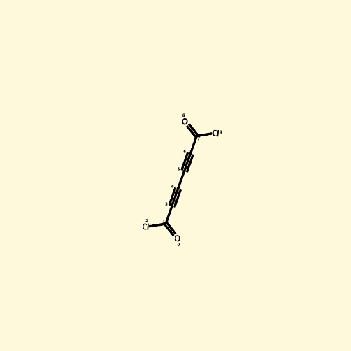 O=C(Cl)C#CC#CC(=O)Cl